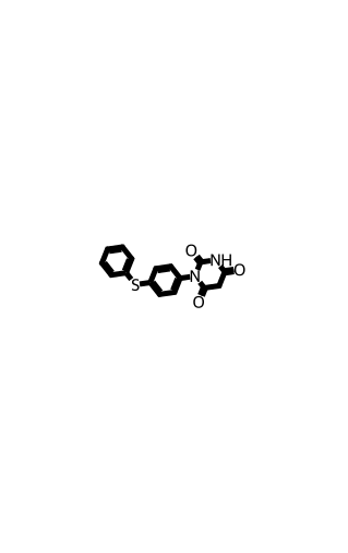 O=C1CC(=O)N(c2ccc(Sc3ccccc3)cc2)C(=O)N1